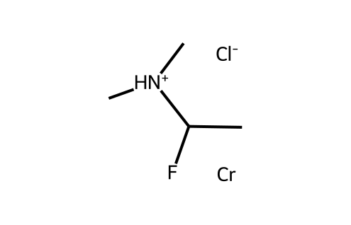 CC(F)[NH+](C)C.[Cl-].[Cr]